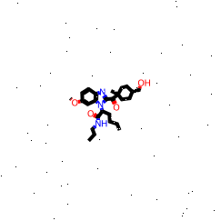 CCCCC(C(=O)NCCC)n1c(C(=O)C2(C)CCC(CO)CC2)nc2ccc(OC)cc21